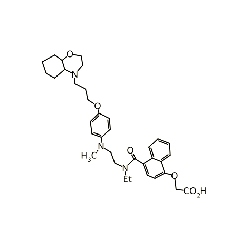 CCN(CCN(C)c1ccc(OCCCN2CCOC3CCCCC32)cc1)C(=O)c1ccc(OCC(=O)O)c2ccccc12